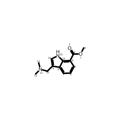 COC(=O)c1cccc2c(CN(C)C)c[nH]c12